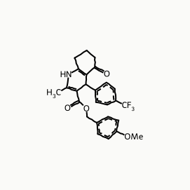 COc1ccc(COC(=O)C2=C(C)NC3=C(C(=O)CCC3)C2c2ccc(C(F)(F)F)cc2)cc1